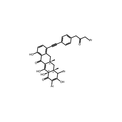 CC(=O)C1=C(O)C(C(C)C)[C@@]2(C)C[C@@]3(C)Cc4c(C#Cc5ccc(CC(=O)CC(C)C)cc5)ccc(O)c4C(=O)C3=C(O)[C@@]2(O)C1=O